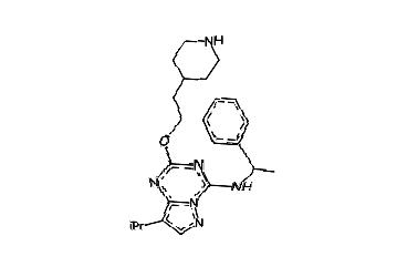 CC(C)c1cnn2c(NC(C)c3ccccc3)nc(OCCC3CCNCC3)nc12